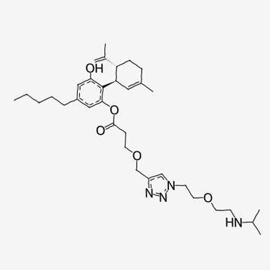 C=C(C)[C@@H]1CCC(C)=C[C@H]1c1c(O)cc(CCCCC)cc1OC(=O)CCOCc1cn(CCOCCNC(C)C)nn1